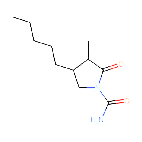 CCCCCC1CN(C(N)=O)C(=O)C1C